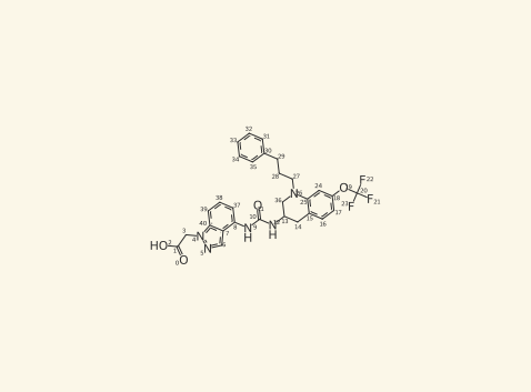 O=C(O)Cn1ncc2c(NC(=O)NC3Cc4ccc(OC(F)(F)F)cc4N(CCCc4ccccc4)C3)cccc21